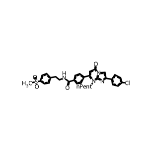 CCCCCn1c(-c2ccc(C(=O)NCCc3ccc(S(C)(=O)=O)cc3)cc2)cc(=O)n2cc(-c3ccc(Cl)cc3)nc12